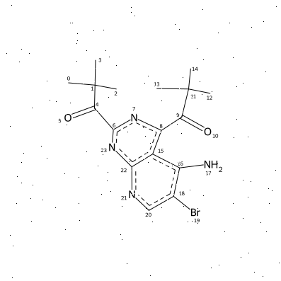 CC(C)(C)C(=O)c1nc(C(=O)C(C)(C)C)c2c(N)c(Br)cnc2n1